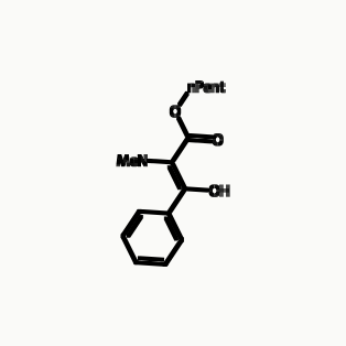 [CH2-][NH2+]/C(C(=O)OCCCCC)=C(/O)c1ccccc1